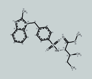 CC[C@H](C)[C@H](NS(=O)(=O)c1ccc(Cn2c(C)nc3ccccc32)cc1)C(=O)OC